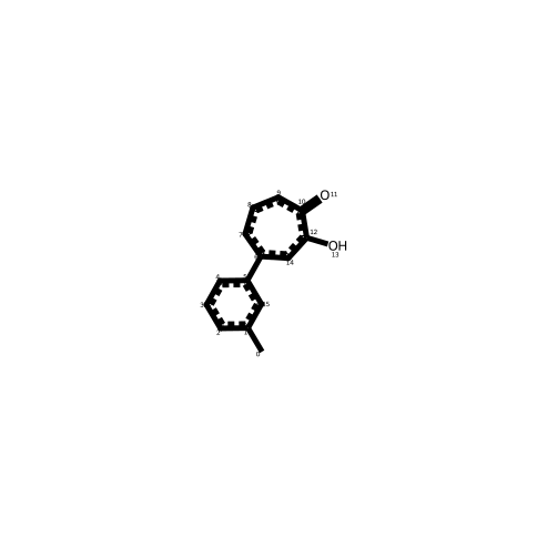 Cc1cccc(-c2cccc(=O)c(O)c2)c1